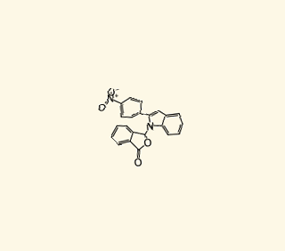 O=C1OC(n2c(-c3ccc([N+](=O)[O-])cc3)cc3ccccc32)c2ccccc21